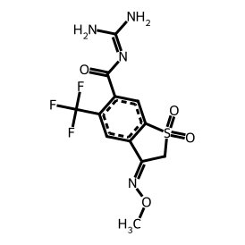 CO/N=C1\CS(=O)(=O)c2cc(C(=O)N=C(N)N)c(C(F)(F)F)cc21